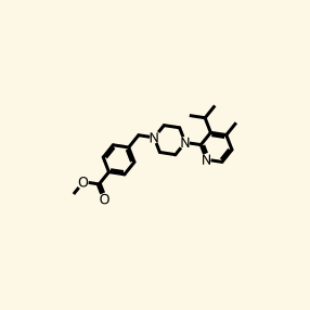 COC(=O)c1ccc(CN2CCN(c3nccc(C)c3C(C)C)CC2)cc1